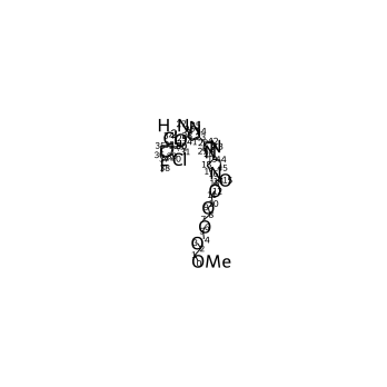 COCCOCCOCCOCCOCC(=O)N1CCC(n2cc(-c3cnc(N)c(O[C@H](C)c4c(Cl)ccc(F)c4Cl)c3)cn2)CC1